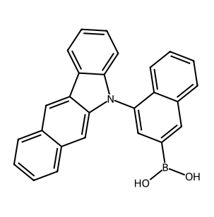 OB(O)c1cc(-n2c3ccccc3c3cc4ccccc4cc32)c2ccccc2c1